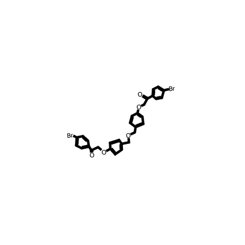 O=C(COc1ccc(COCc2ccc(OCC(=O)c3ccc(Br)cc3)cc2)cc1)c1ccc(Br)cc1